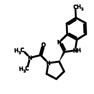 Cc1ccc2[nH]c([C@@H]3CCCN3C(=O)N(C)C)nc2c1